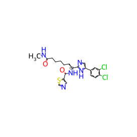 CNC(=O)CCCCC[C@H](NC(=O)c1cncs1)c1ncc(-c2ccc(Cl)c(Cl)c2)[nH]1